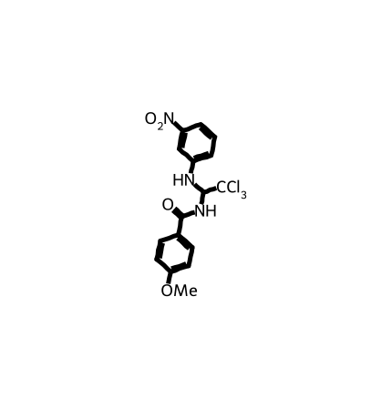 COc1ccc(C(=O)NC(Nc2cccc([N+](=O)[O-])c2)C(Cl)(Cl)Cl)cc1